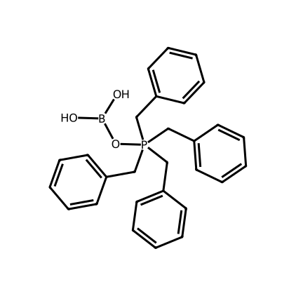 OB(O)OP(Cc1ccccc1)(Cc1ccccc1)(Cc1ccccc1)Cc1ccccc1